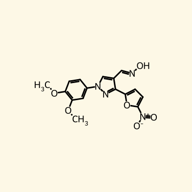 COc1ccc(-n2cc(C=NO)c(-c3ccc([N+](=O)[O-])o3)n2)cc1OC